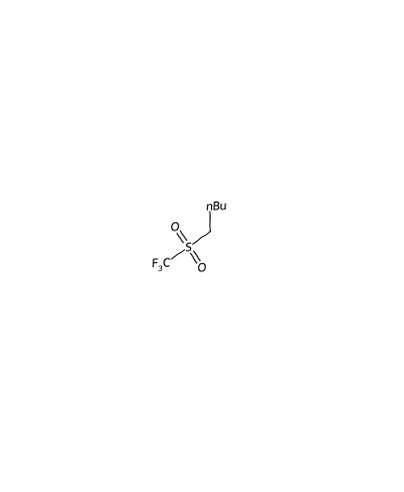 [CH2]CCCCS(=O)(=O)C(F)(F)F